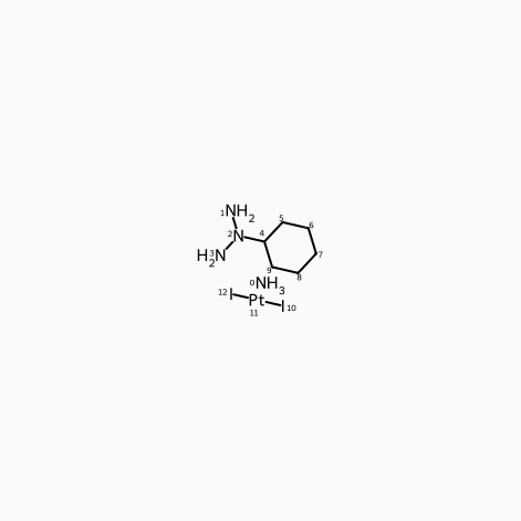 N.NN(N)C1CCCCC1.[I][Pt][I]